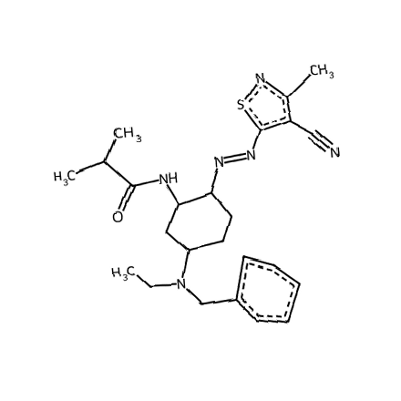 CCN(Cc1ccccc1)C1CCC(N=Nc2snc(C)c2C#N)C(NC(=O)C(C)C)C1